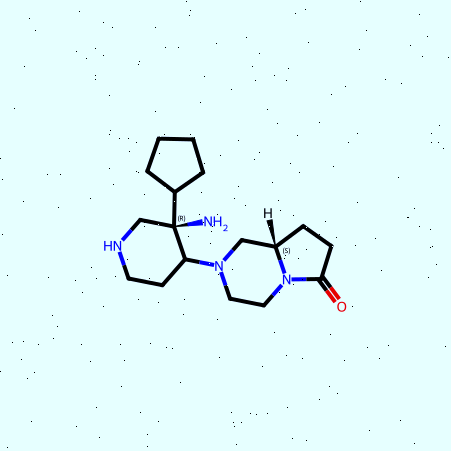 N[C@]1(C2CCCC2)CNCCC1N1CCN2C(=O)CC[C@H]2C1